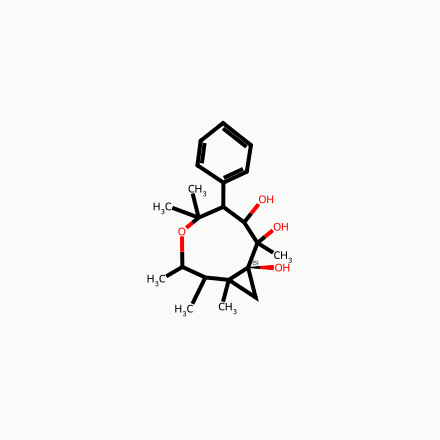 CC1OC(C)(C)C(c2ccccc2)C(O)C(C)(O)[C@]2(O)CC2(C)C1C